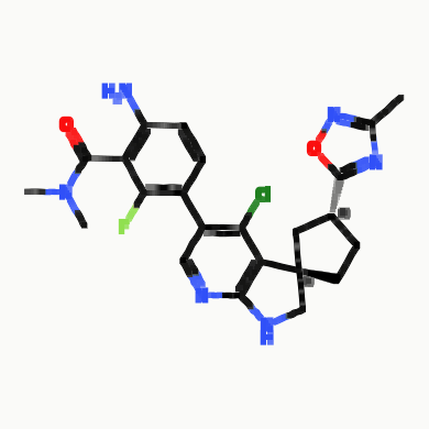 Cc1noc([C@@H]2CC[C@]3(CNc4ncc(-c5ccc(N)c(C(=O)N(C)C)c5F)c(Cl)c43)C2)n1